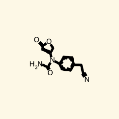 N#CCc1ccc(N(C(N)=O)C2=CC(=O)OC2)cc1